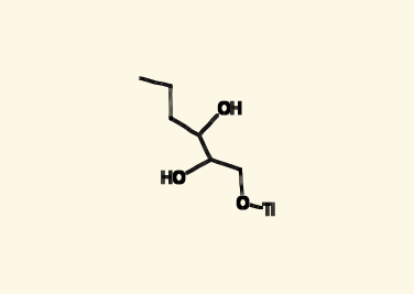 CCCC(O)C(O)C[O][Ti]